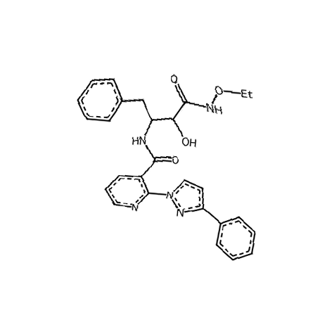 CCONC(=O)C(O)C(Cc1ccccc1)NC(=O)c1cccnc1-n1ccc(-c2ccccc2)n1